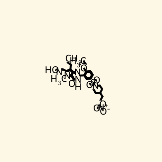 CCCc1c(C=NO)n(C)c2c(=O)[nH]c(-c3cc(S(=O)(=O)N4CCC(CCO[N+](=O)[O-])CC4)ccc3OCC)nc12